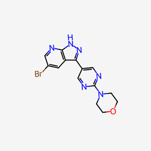 Brc1cnc2[nH]nc(-c3cnc(N4CCOCC4)nc3)c2c1